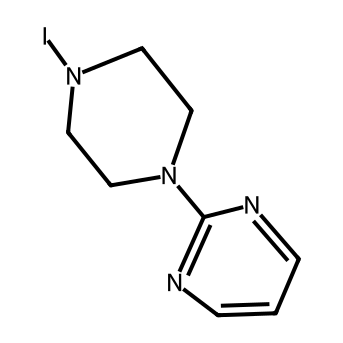 IN1CCN(c2ncccn2)CC1